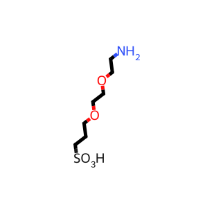 NCCOCCOCCCS(=O)(=O)O